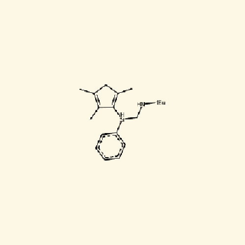 CC1=C(C)C([SiH](CNC(C)(C)C)c2ccccc2)=C(C)C1